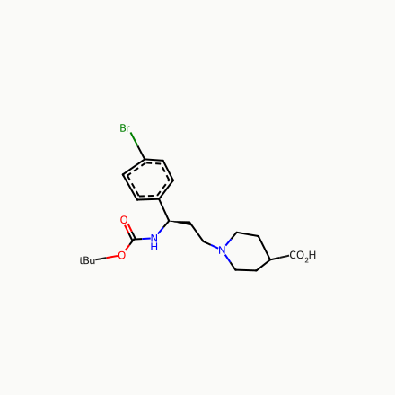 CC(C)(C)OC(=O)N[C@H](CCN1CCC(C(=O)O)CC1)c1ccc(Br)cc1